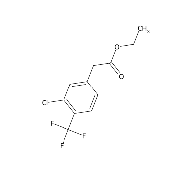 CCOC(=O)Cc1ccc(C(F)(F)F)c(Cl)c1